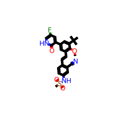 COc1c(C=Cc2ccc(NS(C)(=O)=O)cc2C#N)cc(-c2cc(F)c[nH]c2=O)cc1C(C)(C)C